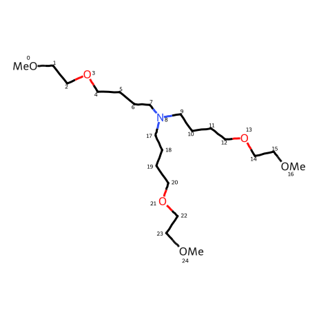 COCCOCCCCN(CCCCOCCOC)CCCCOCCOC